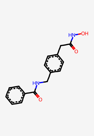 O=C(Cc1ccc(CNC(=O)c2ccccc2)cc1)NO